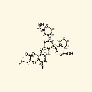 CC(C)C[C@@H](Oc1nc(Oc2cc(C(=O)N3CCCCC3C(=O)O)cc(-c3cccc(CN)c3)c2)c(F)cc1F)C(=O)O